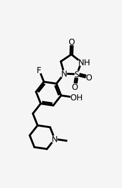 CN1CCCC(Cc2cc(O)c(N3CC(=O)NS3(=O)=O)c(F)c2)C1